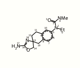 CCN(C(=O)NC)c1ccc2c(c1)CCC1(COC(N)=N1)C2